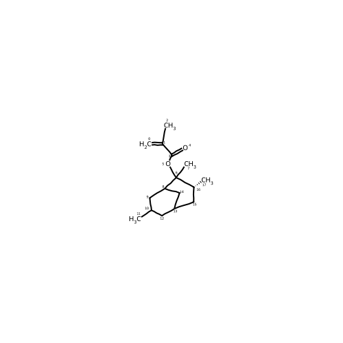 C=C(C)C(=O)OC1(C)C2CC(C)CC(C2)C[C@H]1C